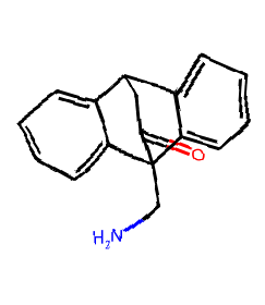 NCC12C(=O)CC(c3ccccc31)c1ccccc12